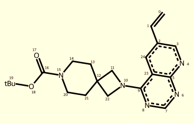 C=Cc1cnc2ncnc(N3CC4(CCN(C(=O)OC(C)(C)C)CC4)C3)c2c1